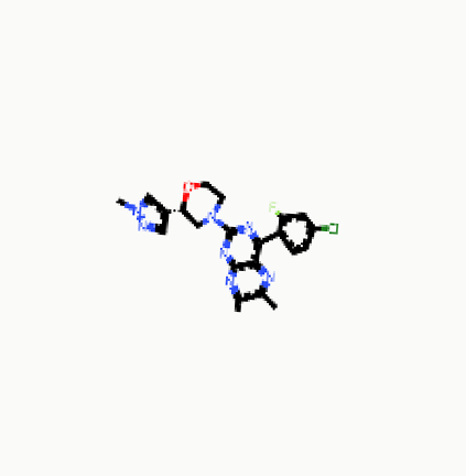 Cc1nc2nc(N3CCO[C@@H](c4cnn(C)c4)C3)nc(-c3ccc(Cl)cc3F)c2nc1C